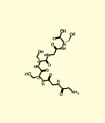 NCC(=O)NCC(=O)N[C@@H](CO)C(=O)N[C@@H](CO)C(=O)NCC(=O)N[C@@H](CO)C(=O)O